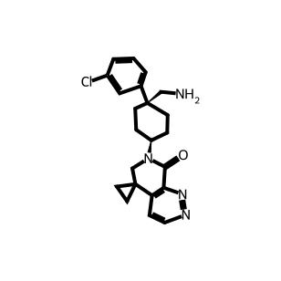 NC[C@]1(c2cccc(Cl)c2)CC[C@H](N2CC3(CC3)c3ccnnc3C2=O)CC1